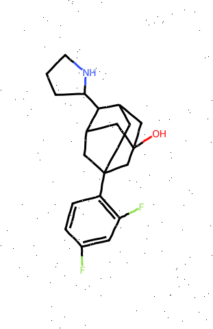 OC12CC3CC(c4ccc(F)cc4F)(CC(C1)C3C1CCCN1)C2